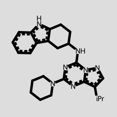 CC(C)c1cnn2c(NC3CCc4[nH]c5ccccc5c4C3)nc(N3CCCCC3)nc12